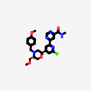 CNC(=O)c1cc(-c2cc([C@@H]3CN(Cc4ccc(OC)cc4)[C@@H](COC)CO3)cc(Cl)n2)ncn1